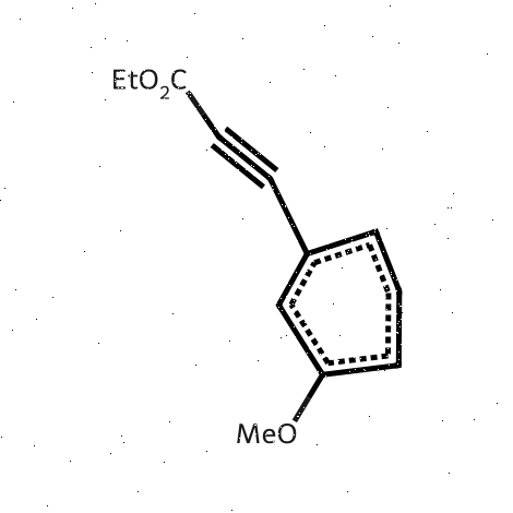 CCOC(=O)C#Cc1cccc(OC)c1